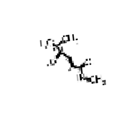 CNC(=O)/C=C/C(=O)C(C)C